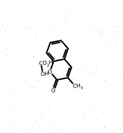 Cc1cc2ccccc2oc1=O.O=C(O)O